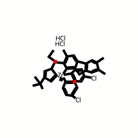 Cl.Cl.[CH2]=[Zr]([C]1=CC(C(C)(C)C)=CC1CCC)([c]1ccc(Cl)cc1)([c]1ccc(Cl)cc1)[c]1c(C)c(C)cc2c1Cc1cc(C)c(C)cc1-2